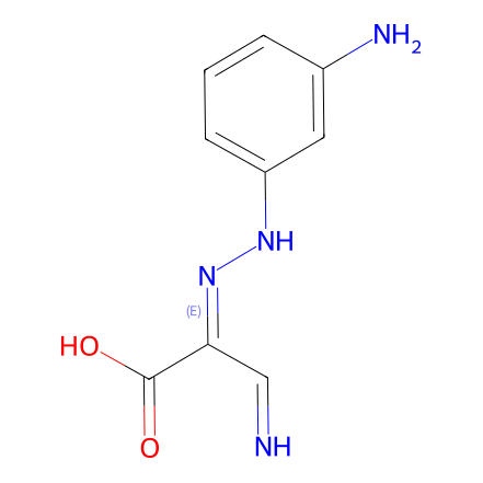 N=C/C(=N\Nc1cccc(N)c1)C(=O)O